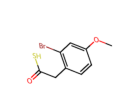 COc1ccc(CC(=O)S)c(Br)c1